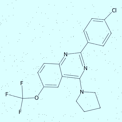 FC(F)(F)Oc1ccc2nc(-c3ccc(Cl)cc3)nc(N3CCCC3)c2c1